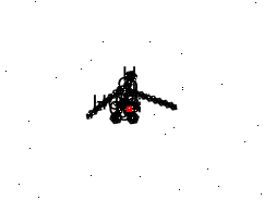 CCCCCCCCCCCCC/C=C/[C@@H](OC(=O)c1ccccc1)[C@H](CO[C@H]1O[C@H](CO)[C@@H](OC(=O)c2ccccc2)[C@H](OC(=O)c2ccccc2)[C@@H]1O[Si](C)(C)C(C)(C)C)NC(=O)CCCCCCCCCCCCCCC